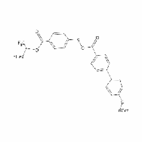 CCCCCCCCOc1ccc(-c2ccc(C(=O)OSc3ccc(C(=O)OC(CCCCCC)C(F)(F)F)cc3)cc2)cc1